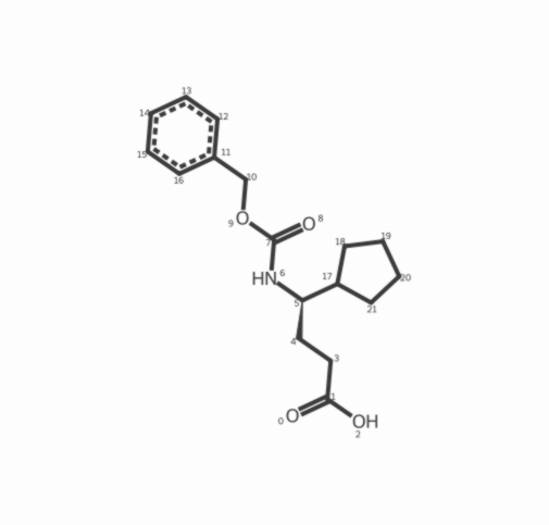 O=C(O)CC[C@@H](NC(=O)OCc1ccccc1)C1CCCC1